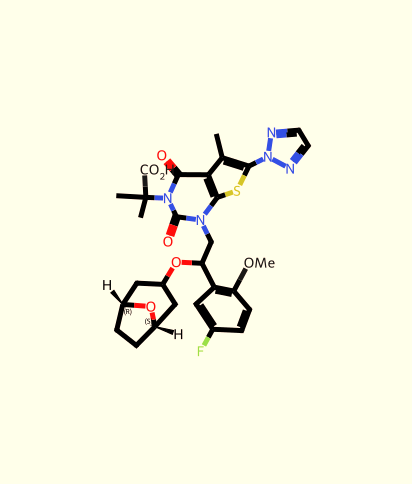 COc1ccc(F)cc1C(Cn1c(=O)n(C(C)(C)C(=O)O)c(=O)c2c(C)c(-n3nccn3)sc21)OC1C[C@H]2CC[C@@H](C1)O2